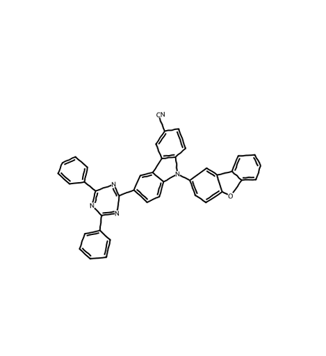 N#Cc1ccc2c(c1)c1cc(-c3nc(-c4ccccc4)nc(-c4ccccc4)n3)ccc1n2-c1ccc2oc3ccccc3c2c1